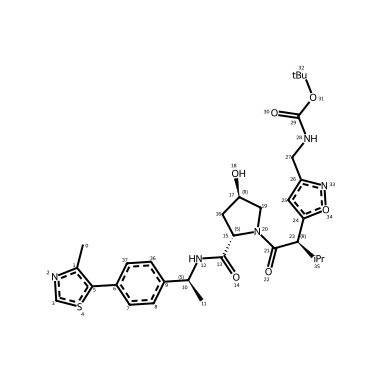 Cc1ncsc1-c1ccc([C@H](C)NC(=O)[C@@H]2C[C@@H](O)CN2C(=O)[C@@H](c2cc(CNC(=O)OC(C)(C)C)no2)C(C)C)cc1